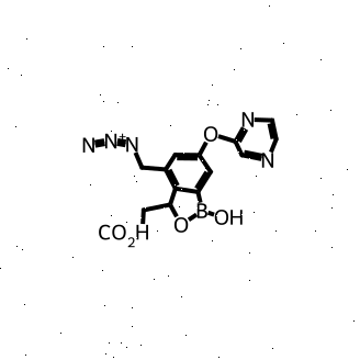 [N-]=[N+]=NCc1cc(Oc2cnccn2)cc2c1C(CC(=O)O)OB2O